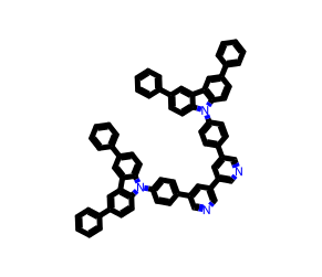 c1ccc(-c2ccc3c(c2)c2cc(-c4ccccc4)ccc2n3-c2ccc(-c3cncc(-c4cncc(-c5ccc(-n6c7ccc(-c8ccccc8)cc7c7cc(-c8ccccc8)ccc76)cc5)c4)c3)cc2)cc1